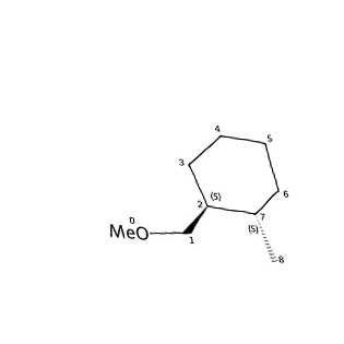 COC[C@H]1CCCC[C@@H]1C